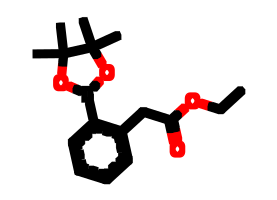 CCOC(=O)Cc1ccccc1B1OC(C)(C)C(C)(C)O1